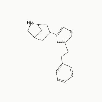 c1ccc(CCc2cncc(N3CC4CNC(C4)C3)c2)cc1